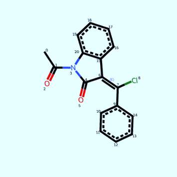 CC(=O)N1C(=O)/C(=C(/Cl)c2ccccc2)c2ccccc21